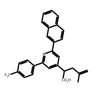 C=C(C)CC(C(=O)O)c1cc(-c2ccc(C(F)(F)F)cc2)nc(-c2ccc3ccccc3c2)c1